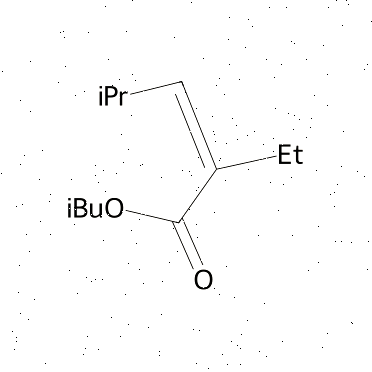 CCC(=CC(C)C)C(=O)OCC(C)C